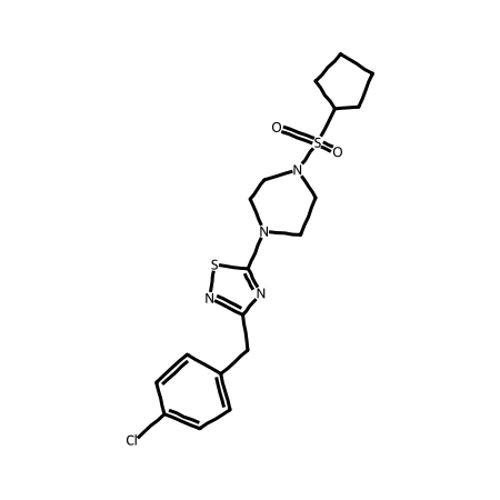 O=S(=O)(C1CCCC1)N1CCN(c2nc(Cc3ccc(Cl)cc3)ns2)CC1